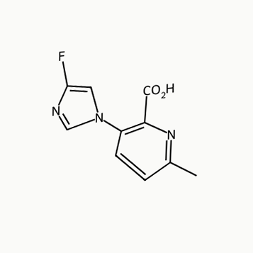 Cc1ccc(-n2cnc(F)c2)c(C(=O)O)n1